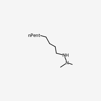 CCCCCCCCCNN(C)C